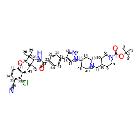 CC(C)(C)OC(=O)N1CCC(CN2CCC(n3cc(-c4ccc(C(=O)N[C@H]5C(C)(C)[C@H](Oc6ccc(C#N)c(Cl)c6)C5(C)C)cc4)cn3)CC2)CC1